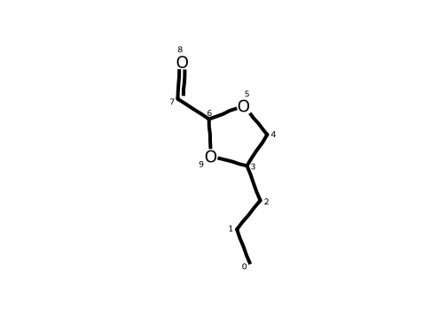 CCCC1COC(C=O)O1